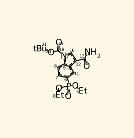 CCOP(=O)(OCC)c1ccc2c(c1)c(C(N)=O)cn2C(=O)OC(C)(C)C